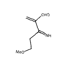 C=C(C=O)C(=N)CCOC